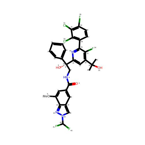 COc1cc(C(=O)NC[C@@](O)(c2ccccc2)c2cc(C(C)(C)O)c(F)c(-c3ccc(F)c(Cl)c3Cl)n2)cc2cn(C(F)F)nc12